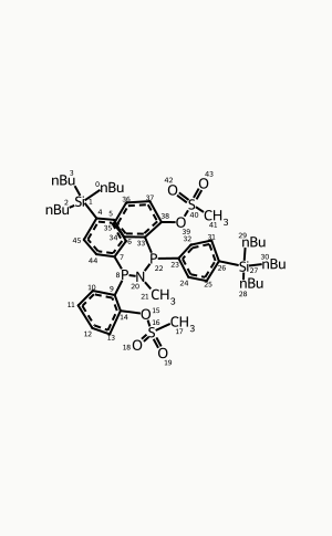 CCCC[Si](CCCC)(CCCC)c1ccc(P(c2ccccc2OS(C)(=O)=O)N(C)P(c2ccc([Si](CCCC)(CCCC)CCCC)cc2)c2ccccc2OS(C)(=O)=O)cc1